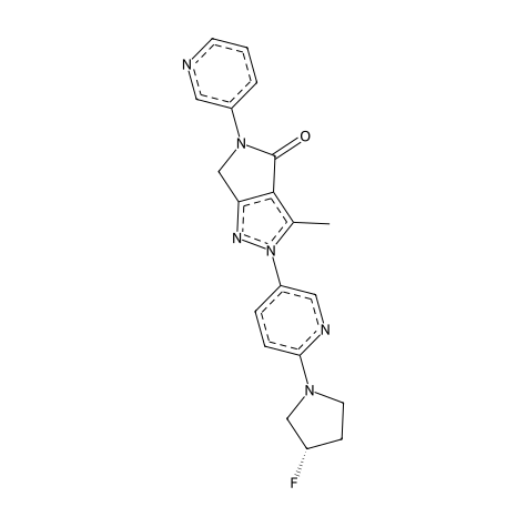 Cc1c2c(nn1-c1ccc(N3CC[C@H](F)C3)nc1)CN(c1cccnc1)C2=O